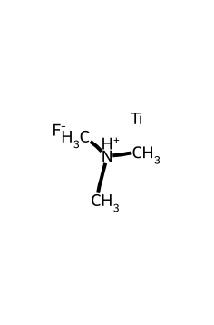 C[NH+](C)C.[F-].[Ti]